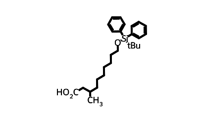 CC(CCCCCCCO[Si](c1ccccc1)(c1ccccc1)C(C)(C)C)CC(=O)O